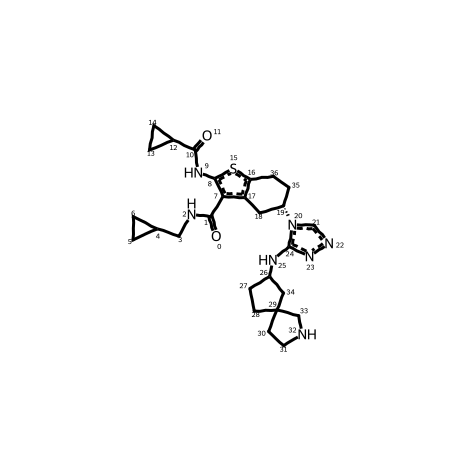 O=C(NCC1CC1)c1c(NC(=O)C2CC2)sc2c1C[C@@H](n1cnnc1NC1CCC3(CCNC3)C1)CC2